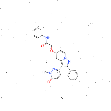 CC(C)n1nc(-c2c(-c3ccccc3)nn3ccc(OCC(=O)Nc4ccccc4)cc23)ccc1=O